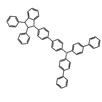 c1ccc(-c2ccc(N(c3ccc(-c4ccccc4)cc3)c3ccc(-c4ccc(N5c6ccccc6C(c6ccccc6)C5c5ccccc5)cc4)cc3)cc2)cc1